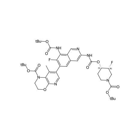 Cc1c(-c2cc3cc(NC(=O)O[C@H]4CCN(C(=O)OC(C)(C)C)C[C@H]4F)ncc3c(NC(=O)OC(C)(C)C)c2F)cnc2c1N(C(=O)OC(C)(C)C)CCO2